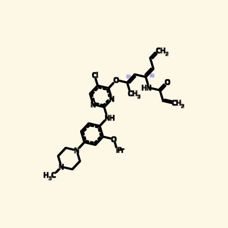 C=C/C=C(\C=C(/C)Oc1nc(Nc2ccc(N3CCN(C)CC3)cc2OC(C)C)ncc1Cl)NC(=O)C=C